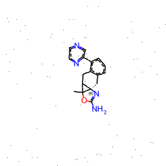 CC12OC(N)=N[C@@]13Cc1cccc(-c4cnccn4)c1CC23